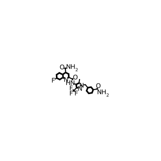 Cc1c(NC(=O)c2cc(C(N)=O)c3ccc(F)cc3n2)c(C(F)(F)F)nn1Cc1cccc(C(N)=O)c1